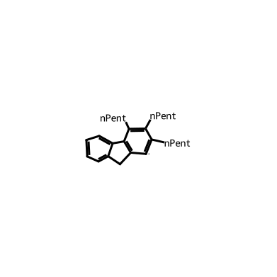 CCCCCc1[c]c2c(c(CCCCC)c1CCCCC)-c1ccccc1C2